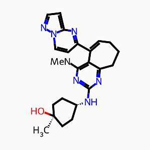 CNc1nc(N[C@H]2CC[C@](C)(O)CC2)nc2c1C(c1ccn3nccc3n1)=CCCC2